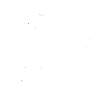 CCc1nc2c(C)cc(C)nc2n1Cc1ccc(-c2cc(-c3cn(CC)nn3)ccc2-c2nnn[nH]2)cc1